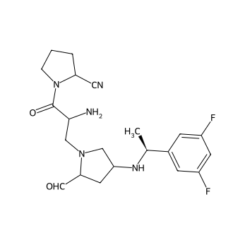 C[C@H](NC1CC(C=O)N(CC(N)C(=O)N2CCCC2C#N)C1)c1cc(F)cc(F)c1